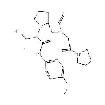 COc1ccc(NC(=O)[C@@H]([C@H](C)O)N2CCCC23CN(CC(=O)N2CCCC2)C3=O)cc1